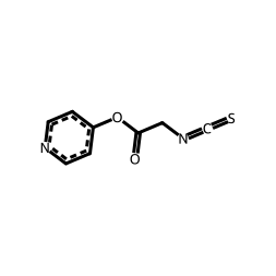 O=C(CN=C=S)Oc1ccncc1